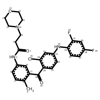 Cc1ccc(NC(=O)CCN2CCOCC2)cc1C(=O)c1ccc(Nc2ccc(F)cc2F)cc1Cl